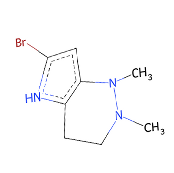 CN1CCc2[nH]c(Br)cc2N1C